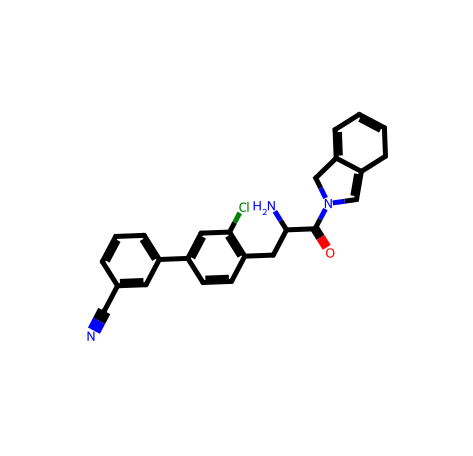 N#Cc1cccc(-c2ccc(CC(N)C(=O)N3C=C4CC=CC=C4C3)c(Cl)c2)c1